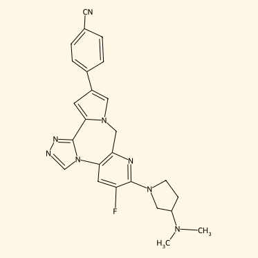 CN(C)C1CCN(c2nc3c(cc2F)-n2cnnc2-c2cc(-c4ccc(C#N)cc4)cn2C3)C1